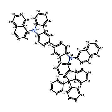 c1ccc(C2(c3ccccc3)c3ccccc3-c3c2ccc2c4cc(-c5ccc6c(c5)c5ccccc5n6-c5cccc6ccccc56)ccc4n(-c4ccc5ccccc5c4)c32)cc1